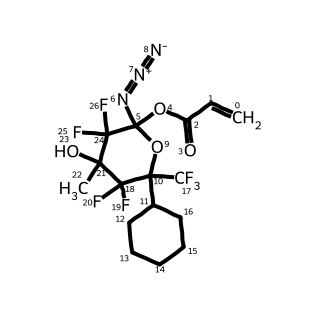 C=CC(=O)OC1(N=[N+]=[N-])OC(C2CCCCC2)(C(F)(F)F)C(F)(F)C(C)(O)C1(F)F